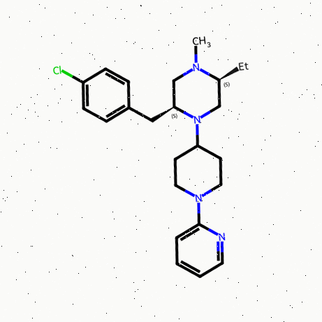 CC[C@H]1CN(C2CCN(c3ccccn3)CC2)[C@@H](Cc2ccc(Cl)cc2)CN1C